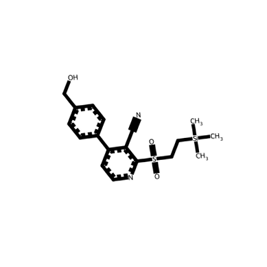 C[Si](C)(C)CCS(=O)(=O)c1nccc(-c2ccc(CO)cc2)c1C#N